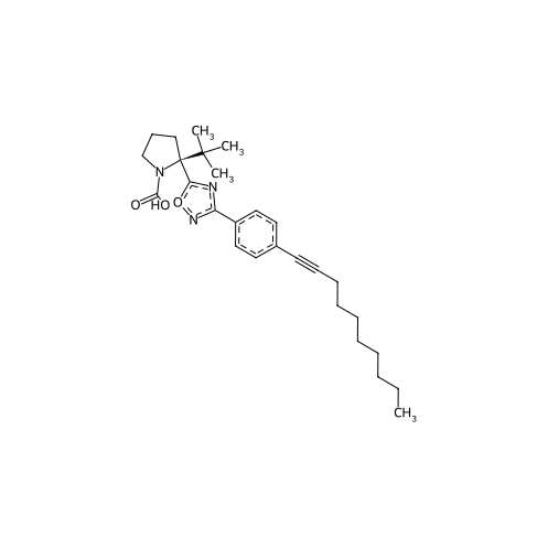 CCCCCCCCC#Cc1ccc(-c2noc([C@@]3(C(C)(C)C)CCCN3C(=O)O)n2)cc1